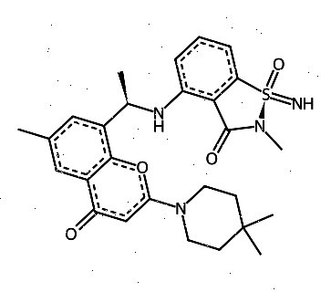 Cc1cc([C@@H](C)Nc2cccc3c2C(=O)N(C)[S@]3(=N)=O)c2oc(N3CCC(C)(C)CC3)cc(=O)c2c1